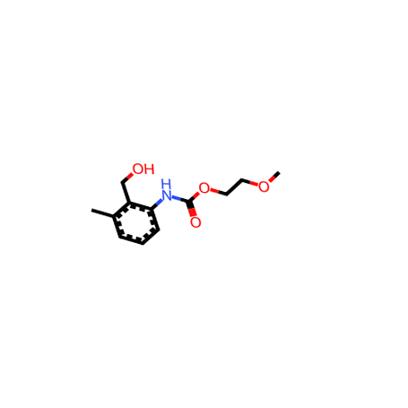 COCCOC(=O)Nc1cccc(C)c1CO